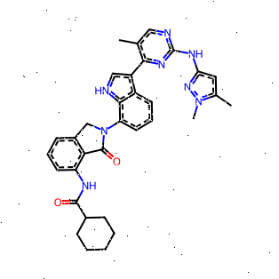 Cc1cnc(Nc2cc(C)n(C)n2)nc1-c1c[nH]c2c(N3Cc4cccc(NC(=O)C5CCCCC5)c4C3=O)cccc12